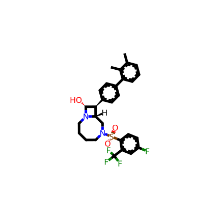 Cc1cccc(-c2ccc([C@@H]3[C@@H](O)N4CCCCN(S(=O)(=O)c5ccc(F)cc5C(F)(F)F)C[C@@H]34)cc2)c1C